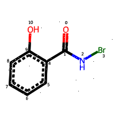 O=C(NBr)c1ccccc1O